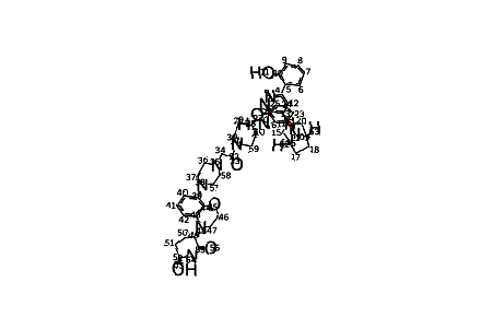 Nc1nnc(-c2ccccc2O)cc1N1C[C@H]2CC[C@@H](C1)N2c1cccc(OC2CCN(C(=O)CN3CCN(c4cccc5c4OCCN5[C@@H]4CCC(=O)NC4=O)CC3)CC2)c1